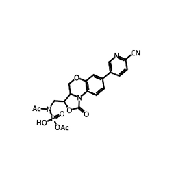 CC(=O)OP(=O)(O)N(CC1OC(=O)N2c3ccc(-c4ccc(C#N)nc4)cc3OCC12)C(C)=O